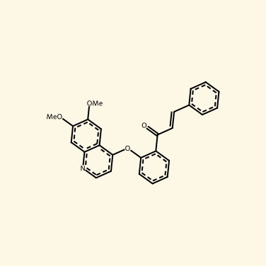 COc1cc2nccc(Oc3ccccc3C(=O)C=Cc3ccccc3)c2cc1OC